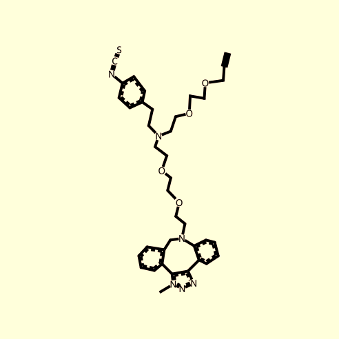 C#CCOCCOCCN(CCOCCOCCN1Cc2ccccc2-c2c(nnn2C)-c2ccccc21)CCc1ccc(N=C=S)cc1